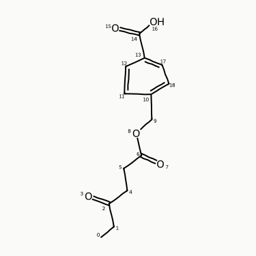 CCC(=O)CCC(=O)OCc1ccc(C(=O)O)cc1